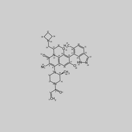 C=CC(=O)N1CCN(c2c(C#N)c(=O)n3c4c(c(-c5c(C)ccc6cn[nH]c56)c(Cl)cc24)OCC3CN2CCC2)[C@@H](C)C1